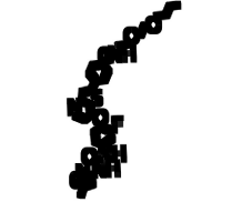 CCCCOCCOCCNOc1ccc(-c2cc3nccc(Oc4ccc(NC(=O)Nc5cc(C)on5)cc4F)c3s2)cc1